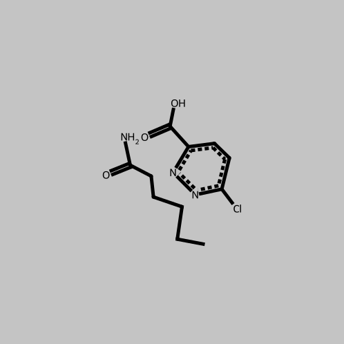 CCCCCC(N)=O.O=C(O)c1ccc(Cl)nn1